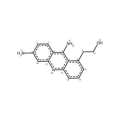 Nc1ccc2c(N)c3c(CCO)cccc3nc2c1